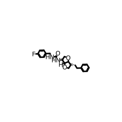 O=C(NCc1ccc(F)cc1)N[C@H]1COC2[C@H](CCc3ccccc3)CO[C@@H]21